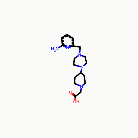 Nc1cccc(CN2CCN(C3CCN(CC(=O)O)CC3)CC2)n1